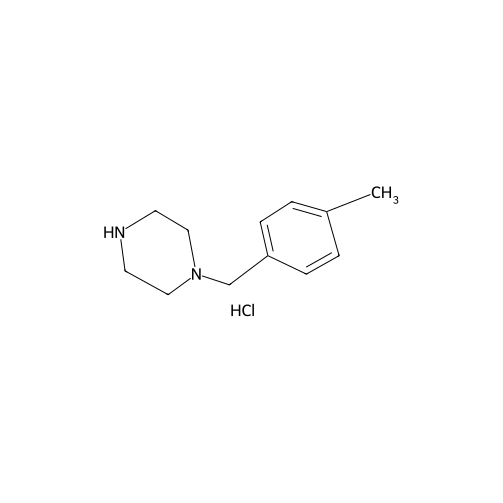 Cc1ccc(CN2CCNCC2)cc1.Cl